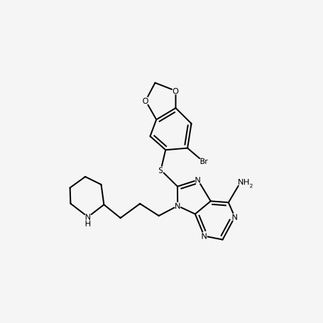 Nc1ncnc2c1nc(Sc1cc3c(cc1Br)OCO3)n2CCCC1CCCCN1